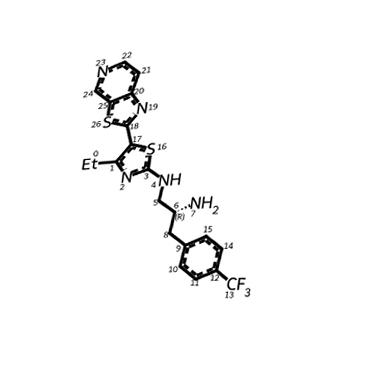 CCc1nc(NC[C@H](N)Cc2ccc(C(F)(F)F)cc2)sc1-c1nc2ccncc2s1